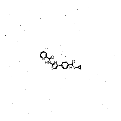 O=C(NC1CC1)c1ccc(-c2csc(NC(=O)c3ccccn3)n2)cc1